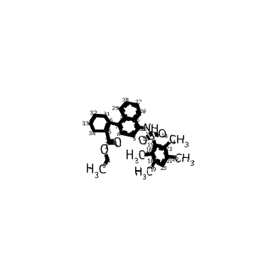 CCOC(=O)C1=C(c2ccc(NS(=O)(=O)c3c(C)c(C)cc(C)c3C)c3ccccc23)CCCC1